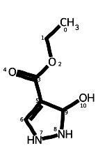 CCOC(=O)C1=CNNC1O